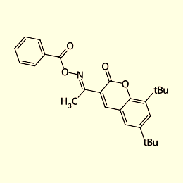 C/C(=N\OC(=O)c1ccccc1)c1cc2cc(C(C)(C)C)cc(C(C)(C)C)c2oc1=O